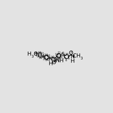 CNC(=O)c1cccc(Sc2ccc3c(c2)NC(=O)C3=CNc2ccc(N3CCN(C)CC3)cc2)c1